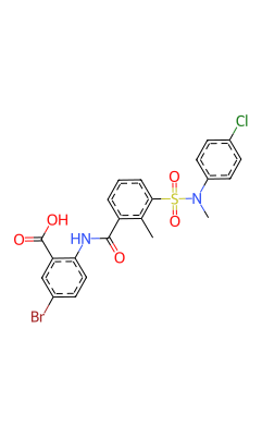 Cc1c(C(=O)Nc2ccc(Br)cc2C(=O)O)cccc1S(=O)(=O)N(C)c1ccc(Cl)cc1